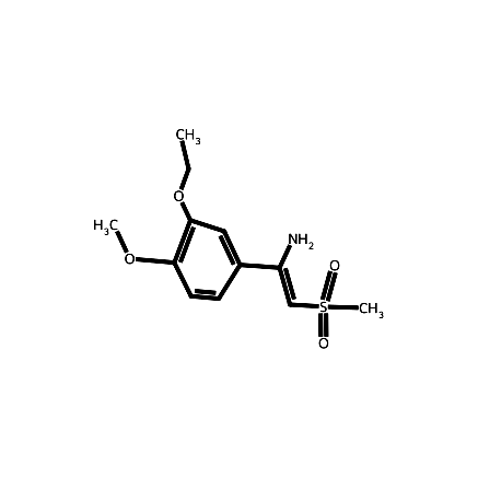 CCOc1cc(C(N)=CS(C)(=O)=O)ccc1OC